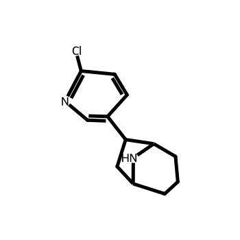 Clc1ccc(C2CC3CCCC2N3)cn1